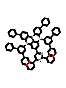 c1ccc(-c2cc(-c3ccccc3)cc(N3c4cc(-c5ccccc5)ccc4B4c5ccc(-c6ccccc6)cc5N(c5cc(-c6ccccc6)cc(-c6ccccc6)c5)c5cc(-c6cc(-c7ccccc7)nc(-c7ccccc7)n6)cc3c54)c2)cc1